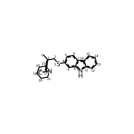 CC(CSc1ccc2c(c1)[nH]c1ccccc12)=C1CC2CCN1CC2